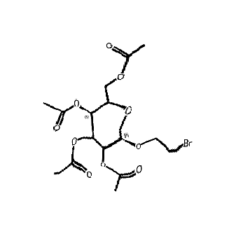 CC(=O)OCC1O[C@@H](OCCBr)C(OC(C)=O)C(OC(C)=O)[C@H]1OC(C)=O